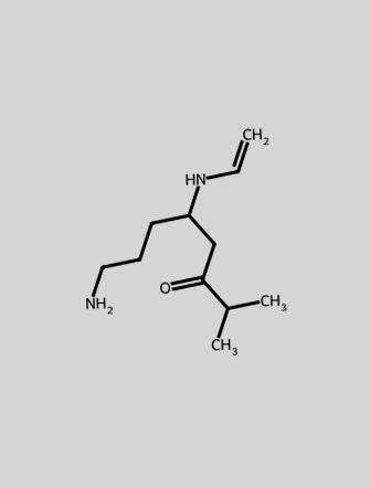 C=CNC(CCCN)CC(=O)C(C)C